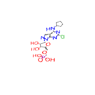 O=P(O)(O)COC=C1O[C@@H](n2ncc3c(NC4CCCC4)nc(Cl)nc32)[C@H](O)[C@@H]1O